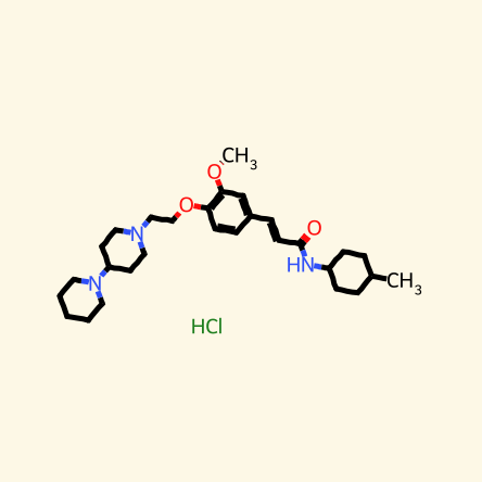 COc1cc(/C=C/C(=O)NC2CCC(C)CC2)ccc1OCCN1CCC(N2CCCCC2)CC1.Cl